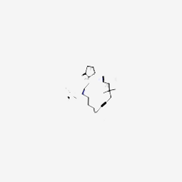 CC#CCC(C)(C)[C@H](O)/C=C/[C@H]1[C@H](C)CC(=O)[C@@H]1C/C=C\CCCC(=O)O.CS(N)(=O)=O